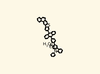 C[Si]1(C)c2cc(-c3c4ccccc4c(-c4ccc5c(c4)sc4cc6ccc7ccccc7c6cc45)c4ccccc34)ccc2-c2cc3c4ccccc4n(-c4ccccc4)c3cc21